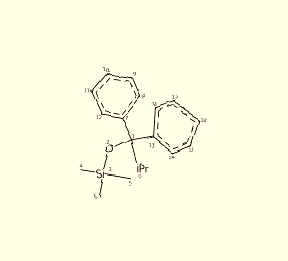 CC(C)C(O[Si](C)(C)C)(c1ccccc1)c1ccccc1